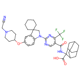 N#CCN1CCC(Oc2ccc3c(c2)C2(CCCCC2)CN3c2ncc(C(=O)NC3(C(=O)O)C4CC5CC(C4)CC3C5)c(C(F)(F)F)n2)CC1